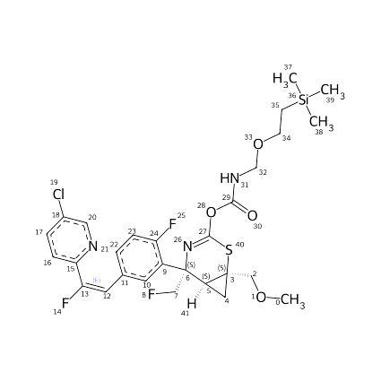 COC[C@]12C[C@H]1[C@@](CF)(c1cc(/C=C(/F)c3ccc(Cl)cn3)ccc1F)N=C(OC(=O)NCOCC[Si](C)(C)C)S2